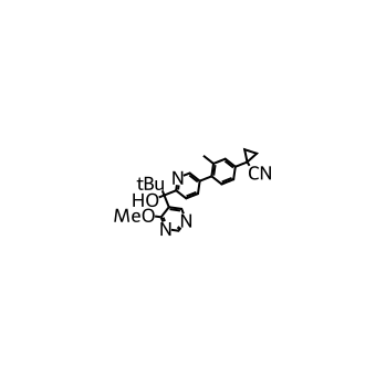 COc1ncncc1C(O)(c1ccc(-c2ccc(C3(C#N)CC3)cc2C)cn1)C(C)(C)C